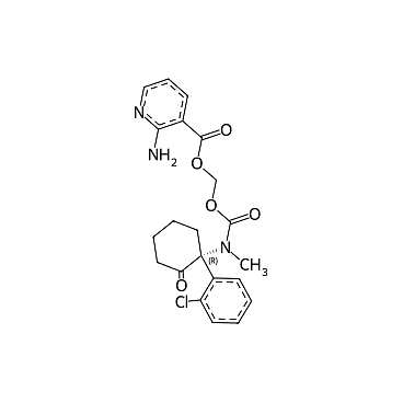 CN(C(=O)OCOC(=O)c1cccnc1N)[C@@]1(c2ccccc2Cl)CCCCC1=O